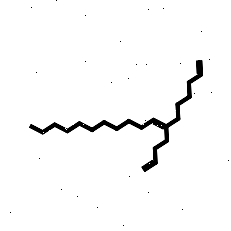 C=CCCCCC(=CCCCCCCCCCC)CCC=C